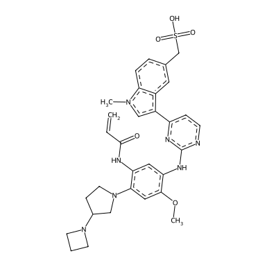 C=CC(=O)Nc1cc(Nc2nccc(-c3cn(C)c4ccc(CS(=O)(=O)O)cc34)n2)c(OC)cc1N1CCC(N2CCC2)C1